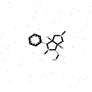 CN1C[C@@H]2[C@H](C1)[C@H](CO)N(I)[C@@H]2c1ccccc1